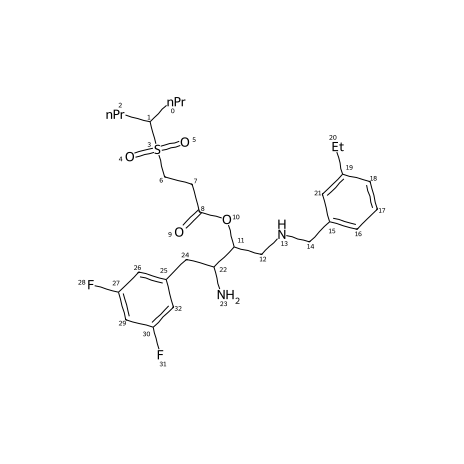 CCCC(CCC)S(=O)(=O)CCC(=O)OC(CNCc1cccc(CC)c1)C(N)Cc1cc(F)cc(F)c1